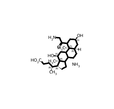 C[C@H](CCC(=O)O)[C@H]1CCC2C3CC[C@@H]4C[C@H](O)CC(C(=O)CN)[C@]4(C)C3C[C@H](O)[C@@]21C.N